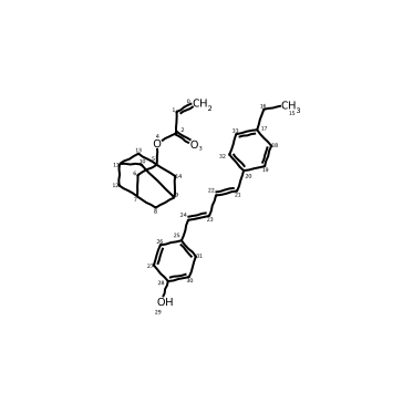 C=CC(=O)OC12CC3CC(CC(C3)C1)C2.CCc1ccc(C=CC=Cc2ccc(O)cc2)cc1